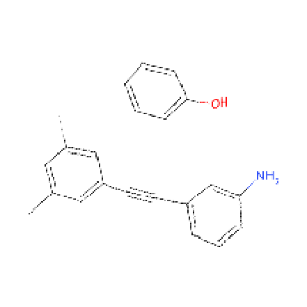 Cc1cc(C)cc(C#Cc2cccc(N)c2)c1.Oc1ccccc1